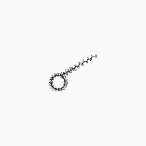 CCCCCCCCCCCCCCCCC1=CCCCCCCCCCCCCCC1